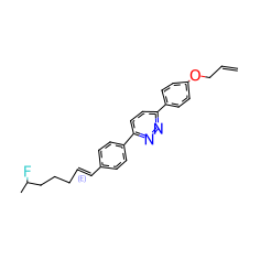 C=CCOc1ccc(-c2ccc(-c3ccc(/C=C/CCCC(C)F)cc3)nn2)cc1